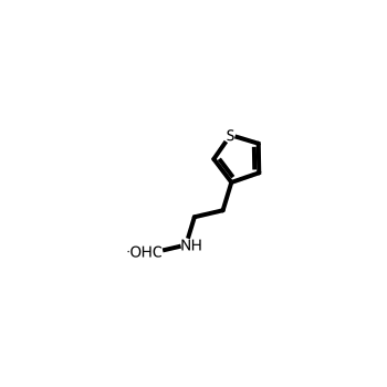 O=[C]NCCc1ccsc1